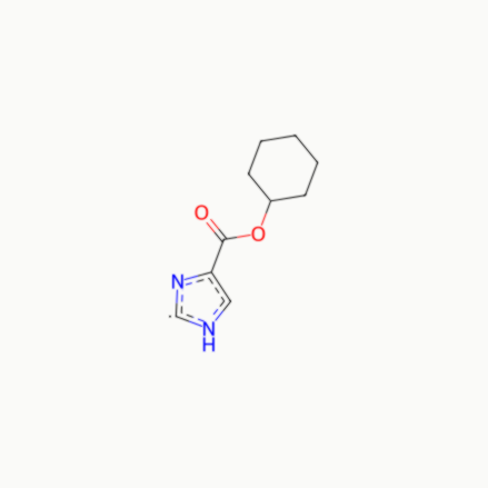 O=C(OC1CCCCC1)c1c[nH][c]n1